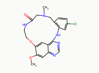 COc1cc2ncnc3c2cc1OCCNC(=O)CN(C)Cc1ccc(Cl)cc1N3